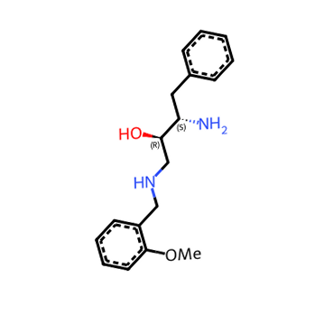 COc1ccccc1CNC[C@@H](O)[C@@H](N)Cc1ccccc1